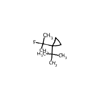 CC(C)(C)C1(C(C)(C)F)CC1